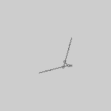 CCCCCC=CCC=CCCCCCCCCOC1CC(O)CC(OCCCCCCCCC=CCC=CCCCCC)C1